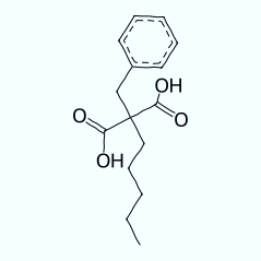 CCCCCC(Cc1ccccc1)(C(=O)O)C(=O)O